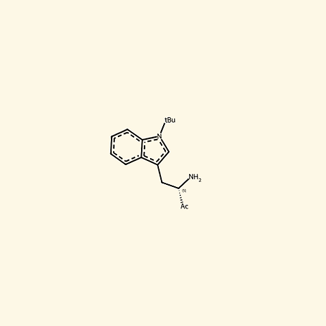 CC(=O)[C@@H](N)Cc1cn(C(C)(C)C)c2ccccc12